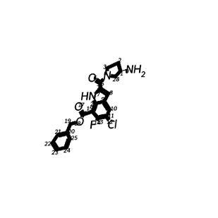 N[C@H]1CCN(C(=O)c2cc3cc(Cl)c(F)c(C(=O)OCc4ccccc4)c3[nH]2)C1